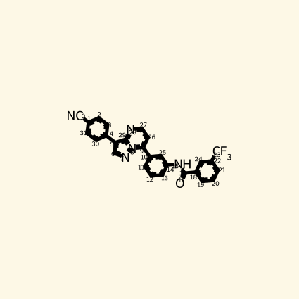 N#Cc1ccc(-c2cnn3c(-c4cccc(NC(=O)c5cccc(C(F)(F)F)c5)c4)ccnc23)cc1